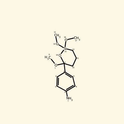 COC1(c2ccc(N)cc2)CCC[Si](OC)(OC)O1